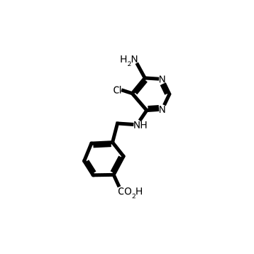 Nc1ncnc(NCc2cccc(C(=O)O)c2)c1Cl